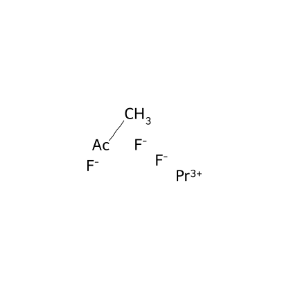 CC(C)=O.[F-].[F-].[F-].[Pr+3]